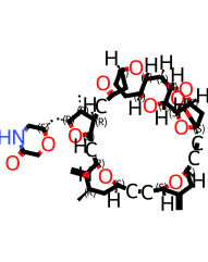 C=C1C[C@@H]2CC[C@@]34C[C@H]5O[C@H]6[C@@H](O3)[C@H]3O[C@H](CC[C@@H]3O[C@H]6[C@H]5O4)CC(=O)C[C@@H]3[C@@H](C)[C@@H](C[C@H]4CNC(=O)CO4)O[C@H]3C[C@H]3O[C@@H](CC[C@@H]1O2)C[C@@H](C)C3=C